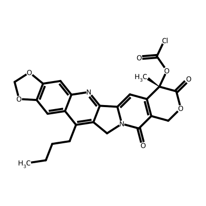 CCCCc1c2c(nc3cc4c(cc13)OCO4)-c1cc3c(c(=O)n1C2)COC(=O)[C@@]3(C)OC(=O)Cl